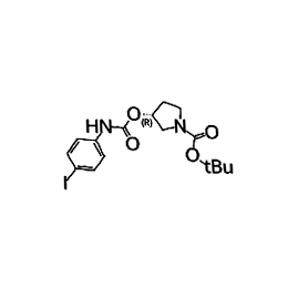 CC(C)(C)OC(=O)N1CC[C@@H](OC(=O)Nc2ccc(I)cc2)C1